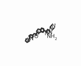 CN1CCN(c2cc(-c3ccc4c(c3)CN(C(=O)Cc3ccc(N5CCCC5)nc3)CC4)nc(N)n2)CC1